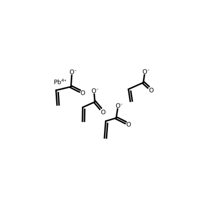 C=CC(=O)[O-].C=CC(=O)[O-].C=CC(=O)[O-].C=CC(=O)[O-].[Pb+4]